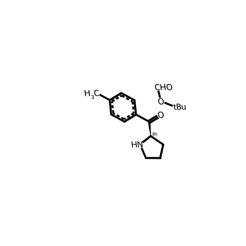 CC(C)(C)OC=O.Cc1ccc(C(=O)[C@H]2CCCN2)cc1